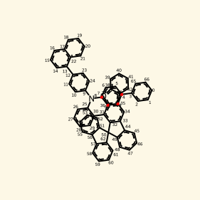 c1ccc(-c2ccc(N(c3ccc(-c4cccc5ccccc45)cc3)c3ccccc3-c3c4c(cc5c3oc3ccccc35)-c3ccccc3C43c4ccccc4-c4ccccc43)cc2)cc1